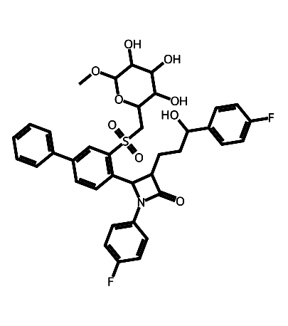 COC1OC(CS(=O)(=O)c2cc(-c3ccccc3)ccc2C2C(CCC(O)c3ccc(F)cc3)C(=O)N2c2ccc(F)cc2)C(O)C(O)C1O